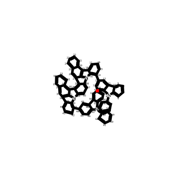 c1ccc(-n2c3ccccc3c3cc(-c4cccc5c6c7ccccc7cc7c8c9c%10c%11ccccc%11cc%11c%12cccc(-c%13ccc%14c(c%13)c%13ccccc%13n%14-c%13ccccc%13)c%12n(c9ccc8n(c45)c76)c%11%10)ccc32)cc1